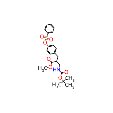 COC(=O)C(CNC(=O)OC(C)(C)C)Cc1ccc(OS(=O)(=O)c2ccccc2)cc1